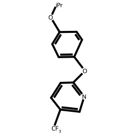 CC(C)Oc1ccc(Oc2ccc(C(F)(F)F)cn2)cc1